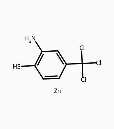 Nc1cc(C(Cl)(Cl)Cl)ccc1S.[Zn]